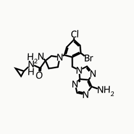 Nc1ncnc2c1ncn2Cc1c(Br)cc(Cl)cc1N1CCC(N)(C(=O)NC2CC2)C1